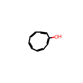 Oc1ccccccccc1